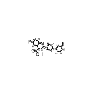 O=C(O)c1cc(-c2ccc(-c3cccc(F)c3)cc2)nc2ccc(F)cc12